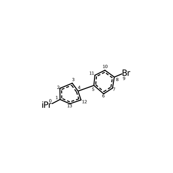 CC(C)c1ccc(-c2ccc(Br)cc2)cc1